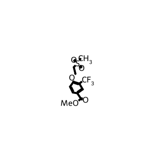 COC(=O)c1ccc(OCCS(C)(=O)=O)c(C(F)(F)F)c1